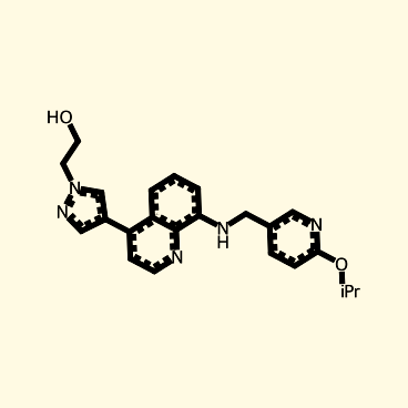 CC(C)Oc1ccc(CNc2cccc3c(-c4cnn(CCO)c4)ccnc23)cn1